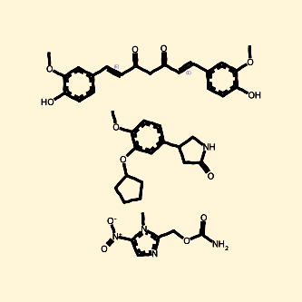 COc1cc(/C=C/C(=O)CC(=O)/C=C/c2ccc(O)c(OC)c2)ccc1O.COc1ccc(C2CNC(=O)C2)cc1OC1CCCC1.Cn1c([N+](=O)[O-])cnc1COC(N)=O